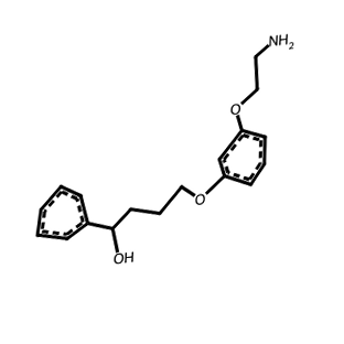 NCCOc1cccc(OCCCC(O)c2ccccc2)c1